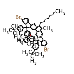 CCCCCCCCc1c(C)c2cc3c(cc2c2cc4c(cc12)-c1ccc(Br)cc1C4(c1ccc(C(C)(C)C)cc1)c1ccc(C(C)(C)C)cc1)C(c1ccc(C(C)(C)C)cc1)(c1ccc(C(C)(C)C)cc1)c1cc(Br)ccc1-3